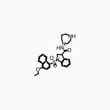 CCOc1ccc(S(=O)(=O)N2CC(C(=O)NN3CCCNCC3)c3ccccc32)c2ccccc12